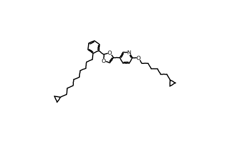 C1=C(c2ccc(OCCCCCCC3CC3)nc2)OC(c2ccccc2CCCCCCCCCC2CC2)O1